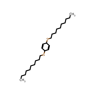 CCCCCCCCCCSC1C=CC(SCCCCCCCCCC)C=C1